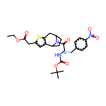 CCOC(=O)Cc1cc2c(s1)CC1CCC2N1C(=O)[C@H](Cc1ccc([N+](=O)[O-])cc1)NC(=O)OC(C)(C)C